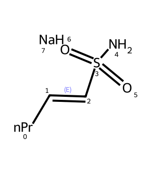 CCC/C=C/S(N)(=O)=O.[NaH]